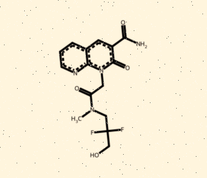 CN(CC(F)(F)CO)C(=O)Cn1c(=O)c(C(N)=O)cc2cccnc21